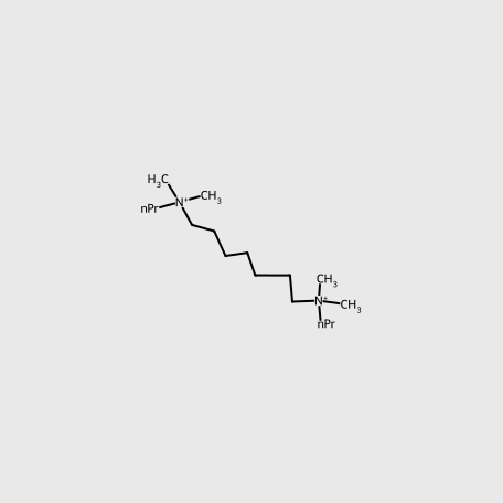 CCC[N+](C)(C)CCCCCCC[N+](C)(C)CCC